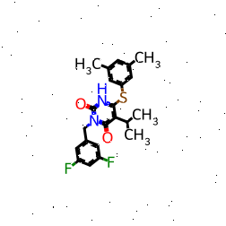 Cc1cc(C)cc(Sc2[nH]c(=O)n(Cc3cc(F)cc(F)c3)c(=O)c2C(C)C)c1